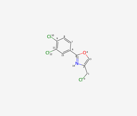 ClCc1coc(-c2ccc(Cl)c(Cl)c2)n1